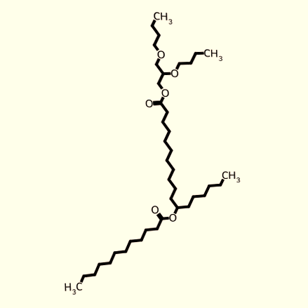 CCCCCCCCCCCC(=O)OC(CCCCCC)CCCCCCCCCCC(=O)OCC(COCCCC)OCCCC